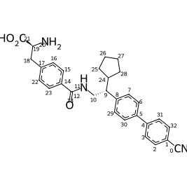 N#Cc1ccc(-c2ccc([C@H](CNC(=O)c3ccc(C[C@H](N)C(=O)O)cc3)C3CCCC3)cc2)cc1